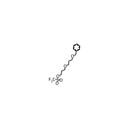 O=S(=O)(OCCCOCCCOCc1ccccc1)C(F)(F)F